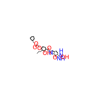 CCCc1c(OCC(=O)OCc2ccccc2)ccc(C(=O)CN2C=C3C=CC(C(=N)NO)C(=O)C3C2)c1O